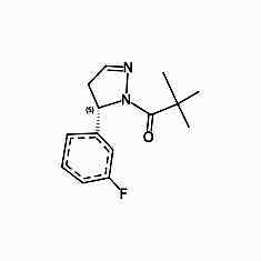 CC(C)(C)C(=O)N1N=CC[C@H]1c1cccc(F)c1